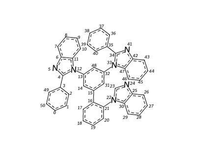 c1ccc(-c2nc3ccccc3n2-c2cc(-c3ccccc3-n3cnc4ccccc43)cc(-n3c(-c4ccccc4)nc4ccccc43)c2)cc1